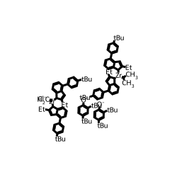 CC(C)(C)c1ccc([O-])c(C(C)(C)C)c1.CC(C)(C)c1ccc([O-])c(C(C)(C)C)c1.CCC1=Cc2c(-c3ccc(C(C)(C)C)cc3)cccc2[CH]1[Zr](=[C](C)C)[CH]1C(CC)=Cc2c(-c3ccc(C(C)(C)C)cc3)cccc21.[CH2]=[Zr]([CH]1C(CC)=Cc2c(-c3ccc(C(C)(C)C)cc3)cccc21)[CH]1C(CC)=Cc2c(-c3ccc(C(C)(C)C)cc3)cccc21.[Cl-]